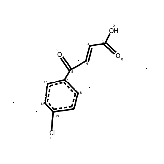 O=C(O)C=CC(=O)c1ccc(Cl)cc1